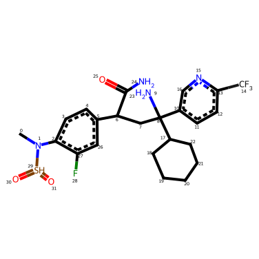 CN(c1ccc(C(CC(N)(c2ccc(C(F)(F)F)nc2)C2CCCCC2)C(N)=O)cc1F)[SH](=O)=O